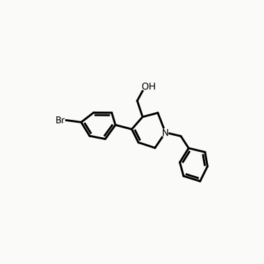 OCC1CN(Cc2ccccc2)CC=C1c1ccc(Br)cc1